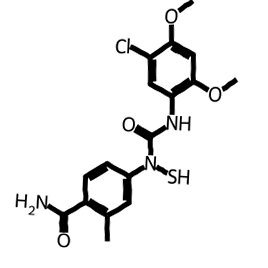 COc1cc(OC)c(NC(=O)N(S)c2ccc(C(N)=O)c(C)c2)cc1Cl